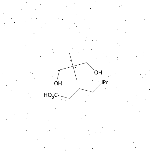 CC(C)(CO)CO.CC(C)CCCC(=O)O